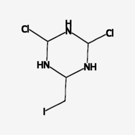 ClC1NC(Cl)NC(CI)N1